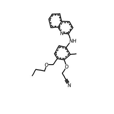 CCCOCc1ccc(Nc2ccc3ccccc3n2)c(C)c1OCC#N